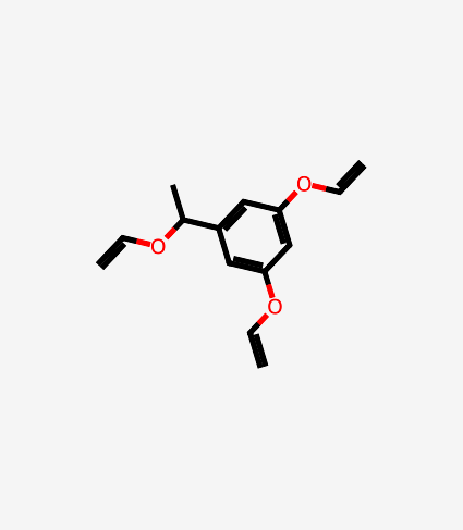 C=COc1cc(OC=C)cc(C(C)OC=C)c1